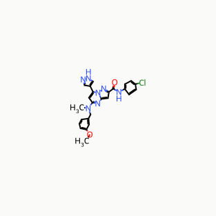 COc1cccc(CN(C)c2cc(-c3cn[nH]c3)n3nc(C(=O)Nc4ccc(Cl)cc4)cc3n2)c1